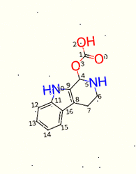 O=C(O)OC1NCCc2c1[nH]c1ccccc21